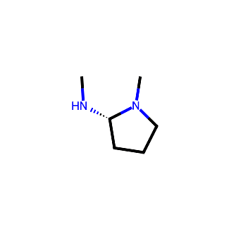 CN[C@H]1CCCN1C